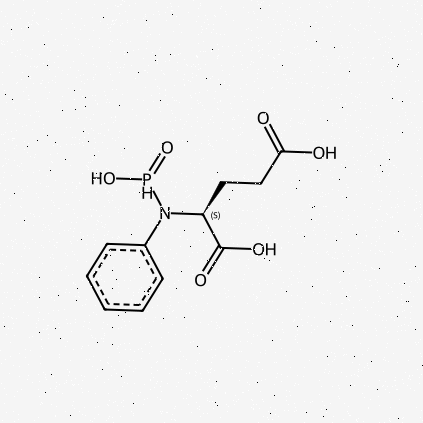 O=C(O)CC[C@@H](C(=O)O)N(c1ccccc1)[PH](=O)O